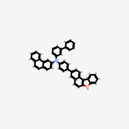 c1ccc(-c2cccc(N(c3ccc(-c4ccc5c(ccc6oc7ccccc7c65)c4)cc3)c3ccc4ccc5ccccc5c4c3)c2)cc1